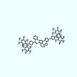 Fc1c(F)c(F)c(B(c2ccc(-c3ccc4c(c3)Oc3cccc5c3c-4cc3c4ccccc4c(-c4ccc(B(c6c(F)c(F)c(F)c(F)c6F)c6c(F)c(F)c(F)c(F)c6F)cc4)cc53)cc2)c2c(F)c(F)c(F)c(F)c2F)c(F)c1F